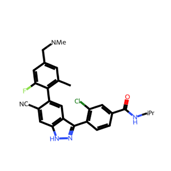 CNCc1cc(C)c(-c2cc3c(-c4ccc(C(=O)NC(C)C)cc4Cl)n[nH]c3cc2C#N)c(F)c1